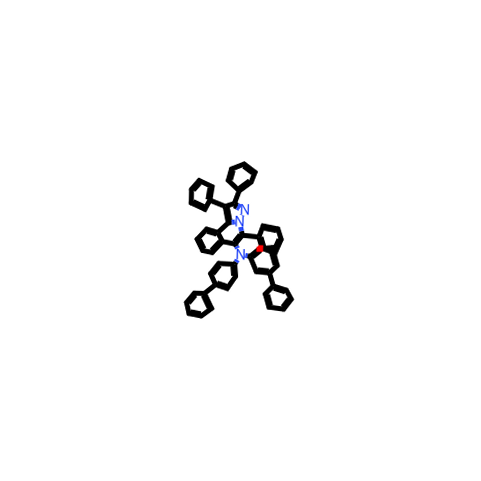 c1ccc(-c2ccc(N(c3cccc(-c4ccccc4)c3)c3c(-c4ccccc4)n4nc(-c5ccccc5)c(-c5ccccc5)c4c4ccccc34)cc2)cc1